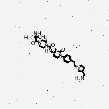 CC(C)(N)C(=O)N1CCN(C(=O)Nc2ccn(-c3ccc(CCN4CCC(CN)C4)cc3)c(=O)n2)CC1